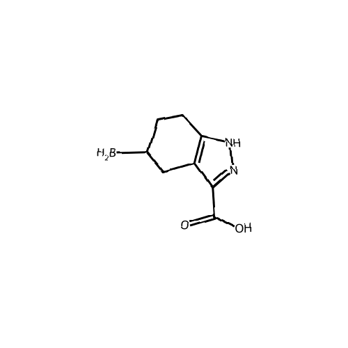 BC1CCc2[nH]nc(C(=O)O)c2C1